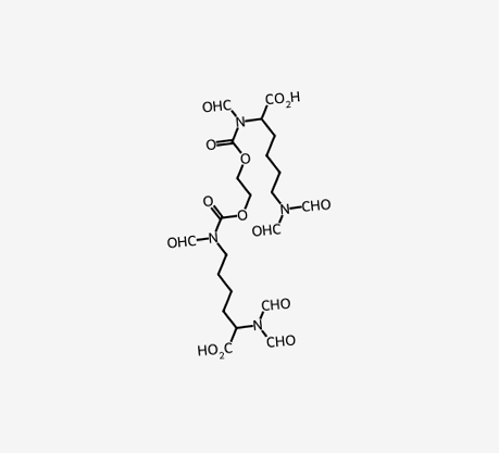 O=CN(C=O)CCCCC(C(=O)O)N(C=O)C(=O)OCCOC(=O)N(C=O)CCCCC(C(=O)O)N(C=O)C=O